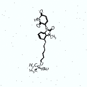 Cn1c(=O)n(C2CCC(=O)NC2=O)c2cccc(CCCCCCO[Si](C)(C)C(C)(C)C)c21